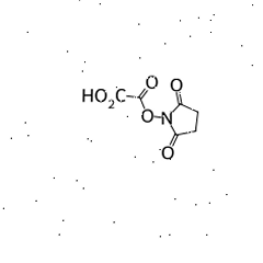 O=C(O)C(=O)ON1C(=O)CCC1=O